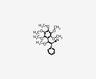 COC(=C(C#N)c1ccccc1)c1c(OC)c(OC)c(OC)c(OC)c1OC